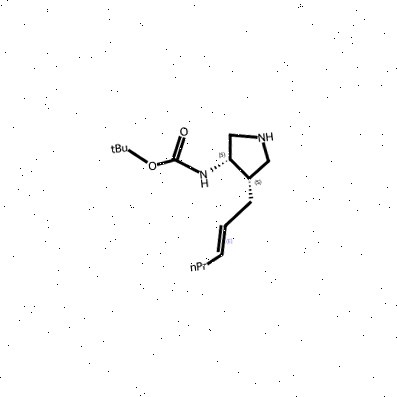 CCC/C=C/C[C@H]1CNC[C@H]1NC(=O)OC(C)(C)C